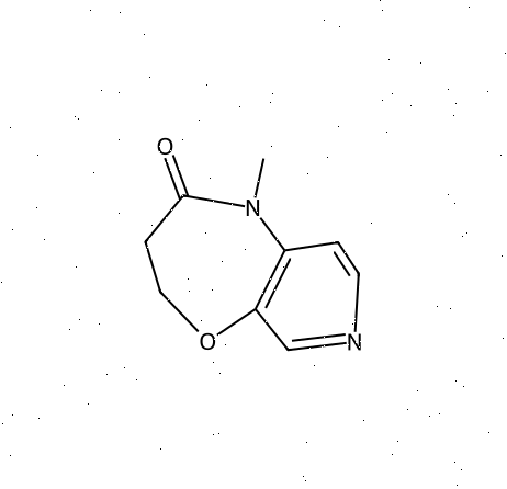 CN1C(=O)CCOc2cnccc21